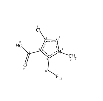 Cn1nc(Cl)c(C(=O)O)c1CF